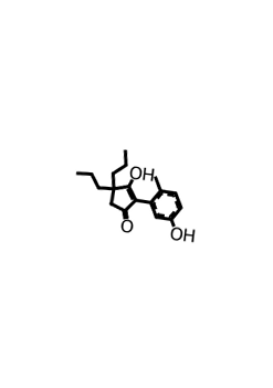 CCCC1(CCC)CC(=O)C(c2cc(O)ccc2C)=C1O